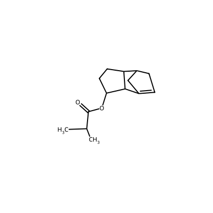 CC(C)C(=O)OC1CCC2C3CC=C(C3)C12